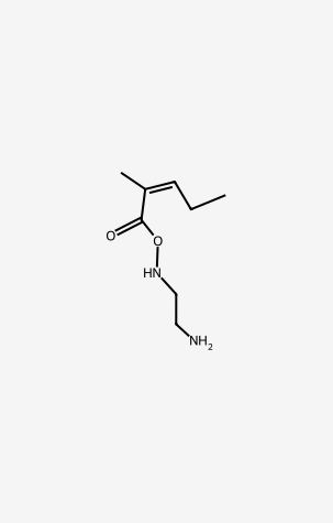 CCC=C(C)C(=O)ONCCN